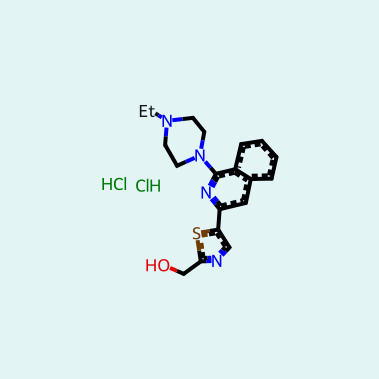 CCN1CCN(c2nc(-c3cnc(CO)s3)cc3ccccc23)CC1.Cl.Cl